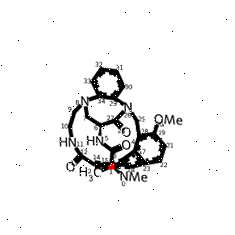 CN[C@@H](C)C(=O)N[C@H]1CN2CCNC(=O)c3ccc4c(c(OC)ccc4c3)CN(C1=O)c1ccccc12